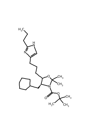 CCCc1nc(CCCC2OC(C)(C)N(C(=O)OC(C)(C)C)[C@H]2CC2CCCCC2)c[nH]1